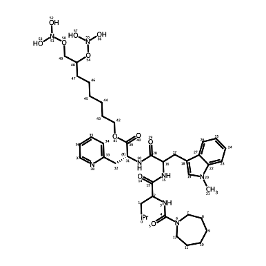 CC(C)CC(NC(=O)N1CCCCCC1)C(=O)NC(Cc1cn(C)c2ccccc12)C(=O)N[C@H](Cc1ccccn1)C(=O)OCCCCCCC(CON(O)O)ON(O)O